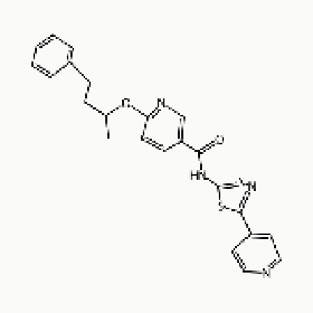 CC(CCc1ccccc1)Oc1ccc(C(=O)Nc2nnc(-c3ccncc3)s2)cn1